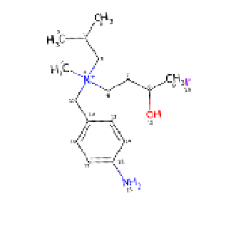 CC(C)C[N+](C)(CCC(C)O)Cc1ccc(N)cc1.[I-]